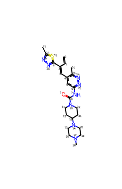 C=C/C(=C\c1cc(NC(=O)N2CCC(N3CCN(C)CC3)CC2)nnc1C)c1nnc(C)s1